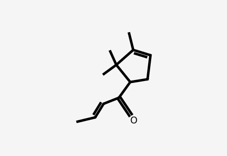 CC=CC(=O)C1CC=C(C)C1(C)C